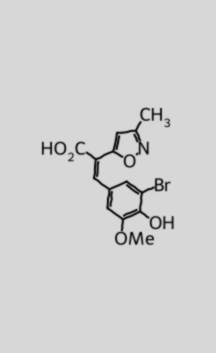 COc1cc(C=C(C(=O)O)c2cc(C)no2)cc(Br)c1O